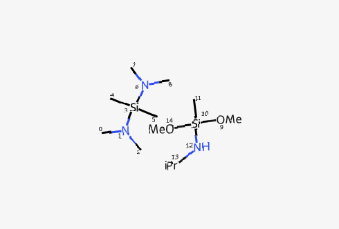 CN(C)[Si](C)(C)N(C)C.CO[Si](C)(NC(C)C)OC